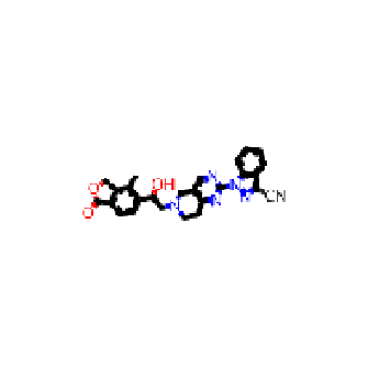 Cc1c(C(O)CN2CCc3nc(-n4nc(C#N)c5ccccc54)ncc3C2)ccc2c1COC2=O